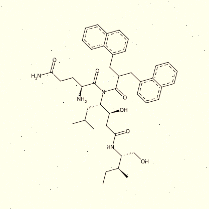 CC[C@H](C)[C@@H](CO)NC(=O)C[C@H](O)[C@H](CC(C)C)N(C(=O)C(Cc1cccc2ccccc12)Cc1cccc2ccccc12)C(=O)[C@@H](N)CCC(N)=O